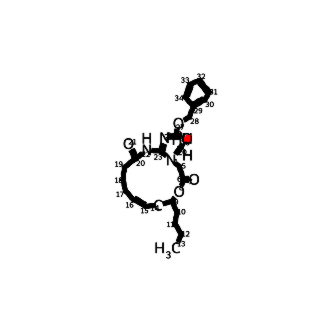 [2H]C([2H])([2H])N1CC(=O)OC(CCCC)CC=CCCCC(=O)NC1=NC(=O)OCc1ccccc1